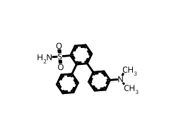 CN(C)c1cccc(-c2cccc(S(N)(=O)=O)c2-c2ccccc2)c1